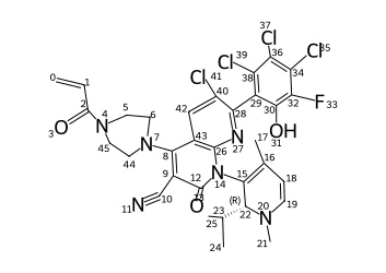 C=CC(=O)N1CCN(c2c(C#N)c(=O)n(C3=C(C)C=CN(C)[C@@H]3C(C)C)c3nc(-c4c(O)c(F)c(Cl)c(Cl)c4Cl)c(Cl)cc23)CC1